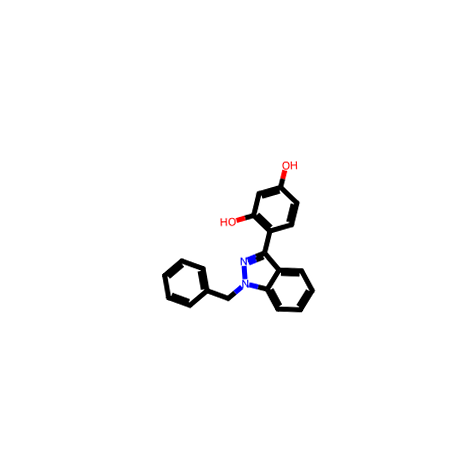 Oc1ccc(-c2nn(Cc3ccccc3)c3ccccc23)c(O)c1